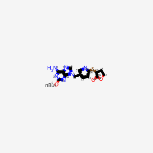 CCCCOc1nc(N)c2ncn(Cc3ccc(SC4CCOC4=O)nc3)c2n1